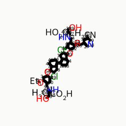 CCOc1cc(O[C@H]2CCc3c(-c4cccc5c4CC[C@@H]5Oc4cc(OCc5cncc(C#N)c5)c(CN[C@@](C)(CO)C(=O)O)cc4Cl)cccc32)c(Cl)cc1CN[C@@](C)(CO)C(=O)O